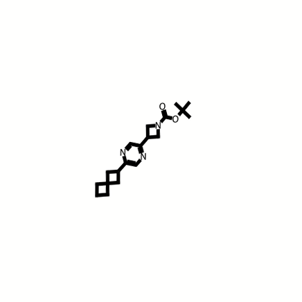 CC(C)(C)OC(=O)N1CC(c2cnc(C3CC4(CCC4)C3)cn2)C1